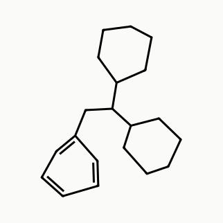 c1ccc(CC(C2CCCCC2)C2CCCCC2)cc1